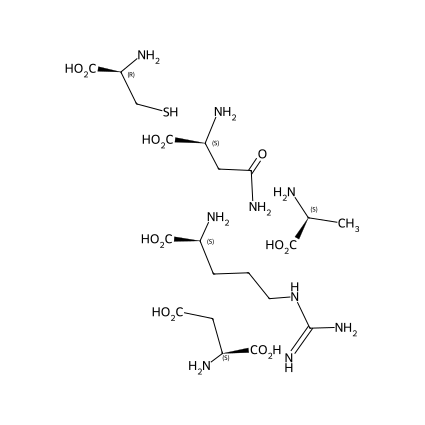 C[C@H](N)C(=O)O.N=C(N)NCCC[C@H](N)C(=O)O.NC(=O)C[C@H](N)C(=O)O.N[C@@H](CC(=O)O)C(=O)O.N[C@@H](CS)C(=O)O